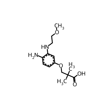 COCCNc1cc(OCC(C)(C)C(=O)O)ccc1N